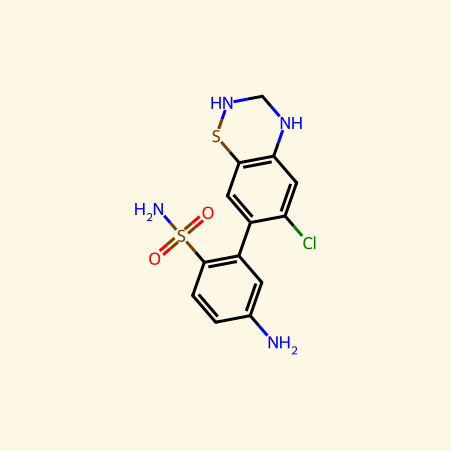 Nc1ccc(S(N)(=O)=O)c(-c2cc3c(cc2Cl)NCNS3)c1